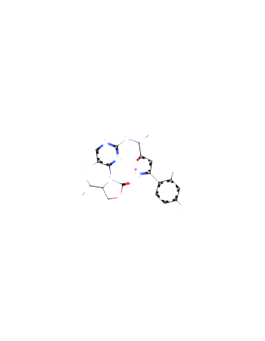 C[C@H](Nc1ncc(F)c(N2C(=O)OCC2[C@@H](C)O)n1)c1cc(-c2ccc(Cl)cc2Cl)no1